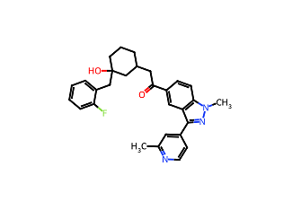 Cc1cc(-c2nn(C)c3ccc(C(=O)CC4CCCC(O)(Cc5ccccc5F)C4)cc23)ccn1